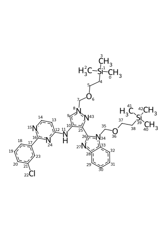 C[Si](C)(C)CCOCn1cc(Nc2ccnc(-c3cccc(Cl)c3)n2)c(-c2nc3ccccc3n2COCC[Si](C)(C)C)n1